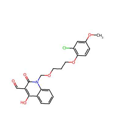 COc1ccc(OCCCOCn2c(=O)c(C=O)c(O)c3ccccc32)c(Cl)c1